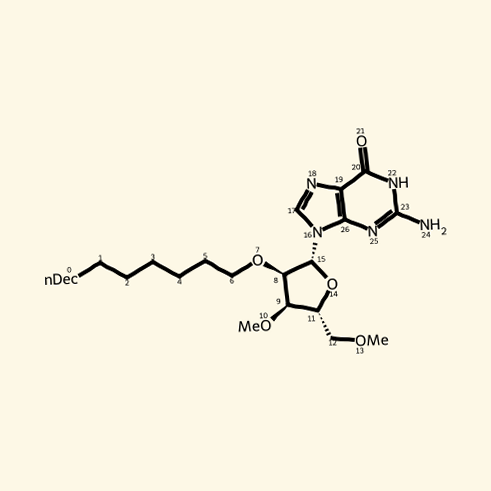 CCCCCCCCCCCCCCCCO[C@@H]1[C@H](OC)[C@@H](COC)O[C@H]1n1cnc2c(=O)[nH]c(N)nc21